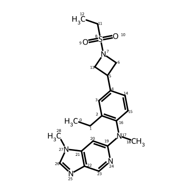 CCc1cc(C2CN(S(=O)(=O)CC)C2)ccc1N(C)c1cc2c(cn1)ncn2C